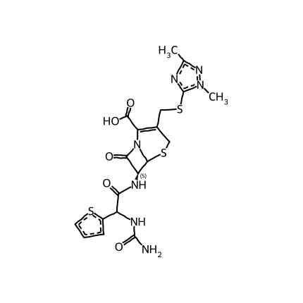 Cc1nc(SCC2=C(C(=O)O)N3C(=O)[C@H](NC(=O)C(NC(N)=O)c4cccs4)C3SC2)n(C)n1